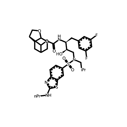 CCCNc1nc2ccc(S(=O)(=O)N(CC(C)C)C[C@@H](O)[C@H](Cc3cc(F)cc(F)c3)NC(=O)OC3C4COC5OCC3C5C4)cc2s1